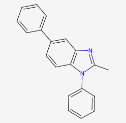 Cc1nc2cc(-c3ccccc3)ccc2n1-c1ccccc1